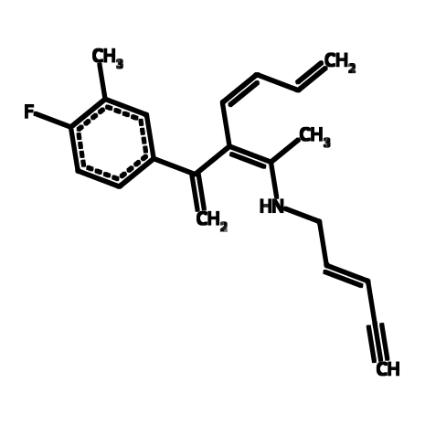 C#C/C=C/CN/C(C)=C(/C=C\C=C)C(=C)c1ccc(F)c(C)c1